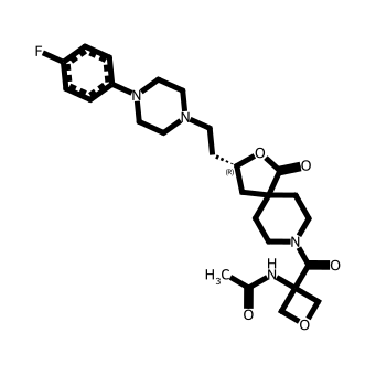 CC(=O)NC1(C(=O)N2CCC3(CC2)C[C@H](CCN2CCN(c4ccc(F)cc4)CC2)OC3=O)COC1